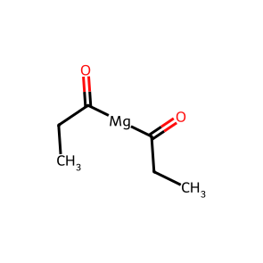 CC[C](=O)[Mg][C](=O)CC